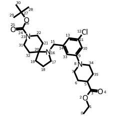 CCOC(=O)C1CCN(c2cc(Cl)cc(CN3CCCC34CCN(C(=O)OC(C)(C)C)CC4)c2)CC1